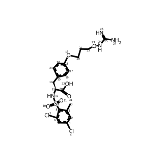 Cc1cc(Cl)cc(Cl)c1S(=O)(=O)N[C@@H](Cc1ccc(OCCCONC(=N)N)cc1)C(=O)O